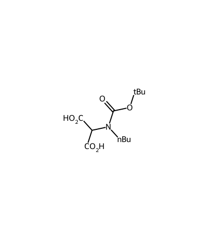 CCCCN(C(=O)OC(C)(C)C)C(C(=O)O)C(=O)O